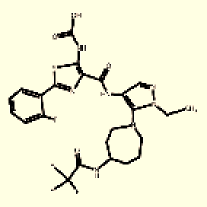 CCn1ncc(NC(=O)c2nc(-c3ccccc3F)sc2NC(=O)O)c1N1CCCC(NC(=O)C(F)(F)F)CC1